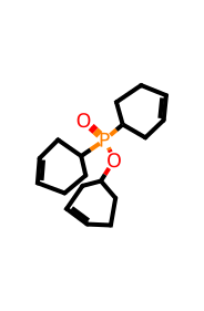 O=P(OC1CC=CCC1)(C1CC=CCC1)C1CC=CCC1